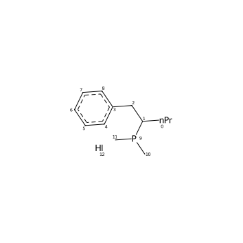 CCCC(Cc1ccccc1)P(C)C.I